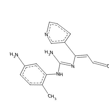 C=C/C=C(\N=C(/N)Nc1cc(N)ccc1C)c1cccnc1